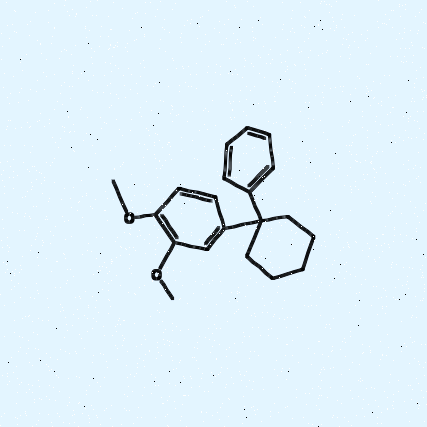 COc1ccc(C2(c3ccccc3)CCCCC2)cc1OC